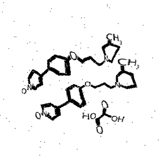 CC1CCCN(CCCOc2ccc(-c3cc[n+]([O-])cc3)cc2)C1.CC1CCCN(CCCOc2ccc(-c3cc[n+]([O-])cc3)cc2)C1.O=C(O)C(=O)O